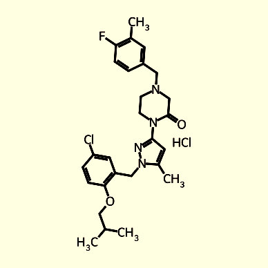 Cc1cc(CN2CCN(c3cc(C)n(Cc4cc(Cl)ccc4OCC(C)C)n3)C(=O)C2)ccc1F.Cl